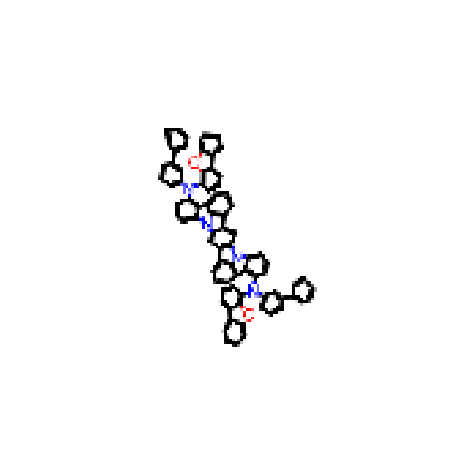 c1ccc(-c2cccc(N(c3cccc4c3oc3ccccc34)c3cccc4c3c3cccc5c6cc7c(cc6n4c53)c3cccc4c5c(N(c6cccc(-c8ccccc8)c6)c6cccc8c6oc6ccccc68)cccc5n7c34)c2)cc1